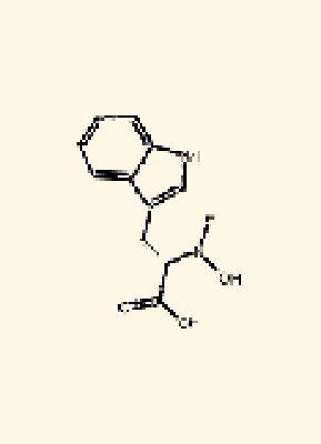 O=C(O)[C@H](Cc1c[nH]c2ccccc12)N(O)F